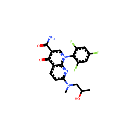 CC(O)CN(C)c1ccc2c(=O)c(C(N)=O)cn(-c3c(F)cc(F)cc3F)c2n1